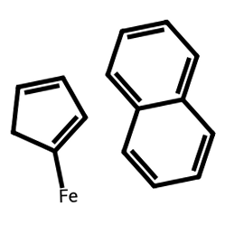 [Fe][C]1=CC=CC1.c1ccc2ccccc2c1